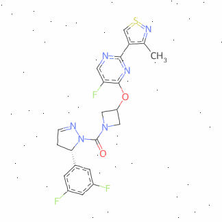 Cc1nscc1-c1ncc(F)c(OC2CN(C(=O)N3N=CC[C@H]3c3cc(F)cc(F)c3)C2)n1